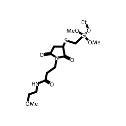 CCO[Si](CSC1CC(=O)N(CCC(=O)NCCOC)C1=O)(OC)OC